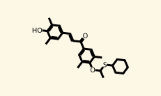 Cc1cc(C=CC(=O)c2cc(C)c(OC(C)SC3CCCCC3)c(C)c2)cc(C)c1O